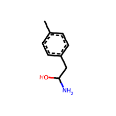 Cc1ccc(CC(N)O)cc1